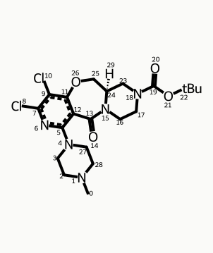 CN1CCN(c2nc(Cl)c(Cl)c3c2C(=O)N2CCN(C(=O)OC(C)(C)C)C[C@@H]2CO3)CC1